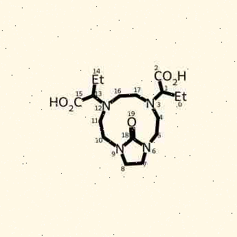 CCC(C(=O)O)N1CCN2CCN(CCN(C(CC)C(=O)O)CC1)C2=O